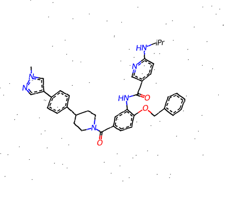 CC(C)Nc1ccc(C(=O)Nc2cc(C(=O)N3CCC(c4ccc(-c5cnn(C)c5)cc4)CC3)ccc2OCc2ccccc2)cn1